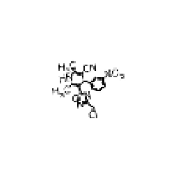 CC1=C(C#N)C(c2cccc([N+](=O)[O-])c2)C(c2nc(CCl)no2)=C(C)N1